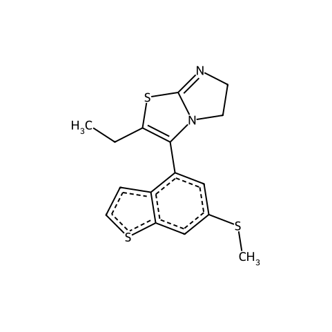 CCC1=C(c2cc(SC)cc3sccc23)N2CCN=C2S1